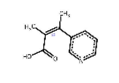 C/C(C(=O)O)=C(\C)c1cccnc1